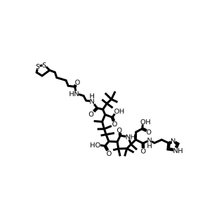 CC(C(C(=O)O)C(C(=O)NCCNC(=O)CCCCC1CCSS1)C(C)(C)C(C)(C)C)C(C)(C)C(C)(C)C(C(=O)O)C1C(=O)NC(C)(C(CC(=O)O)C(=O)NCCc2c[nH]cn2)C(C)(C)C1(C)C